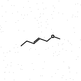 CCC=CCOC